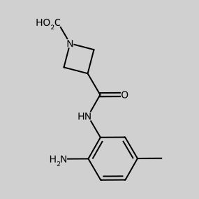 Cc1ccc(N)c(NC(=O)C2CN(C(=O)O)C2)c1